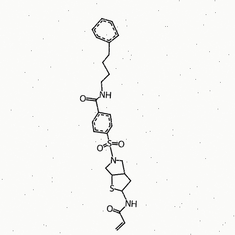 C=CC(=O)NC1CC2CN(S(=O)(=O)c3ccc(C(=O)NCCCCc4ccccc4)cc3)CC2S1